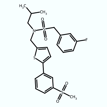 CC(C)CN(Cc1ccc(-c2cccc(S(C)(=O)=O)c2)s1)S(=O)(=O)Cc1cccc(F)c1